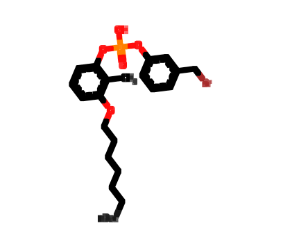 CCCCCCCCCCCCCCCCOc1cccc(OP(=O)(O)Oc2cccc(CBr)c2)c1C